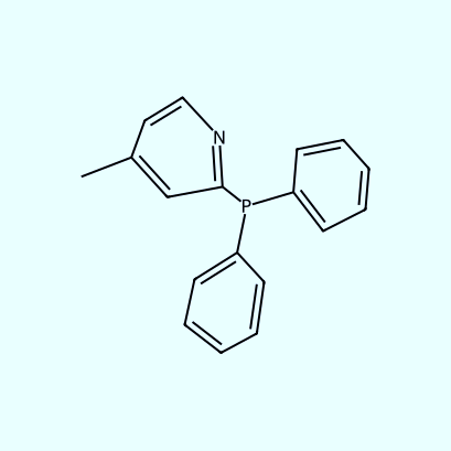 Cc1ccnc(P(c2ccccc2)c2ccccc2)c1